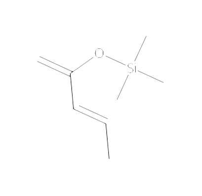 C=C(C=CC)O[Si](C)(C)C